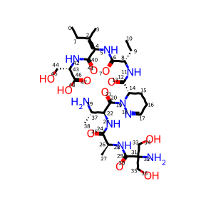 CC/C(C)=C(/NC(=O)[C@H](CC)NC(=O)[C@@H]1CCC=NN1C(=O)[C@@H](NC(=O)[C@H](C)NC(=O)C(N)(CO)CO)[C@H](C)N)C(=O)N[C@@H](CO)C(=O)O